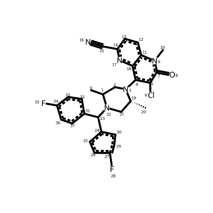 CC1CN(c2c(Cl)c(=O)n(C)c3ccc(C#N)nc23)[C@H](C)CN1C(c1ccc(F)cc1)c1ccc(F)cc1